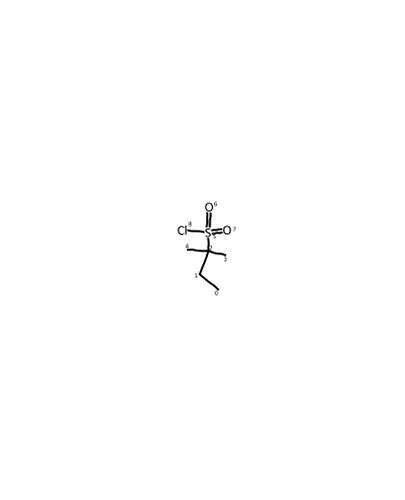 CCC(C)(C)S(=O)(=O)Cl